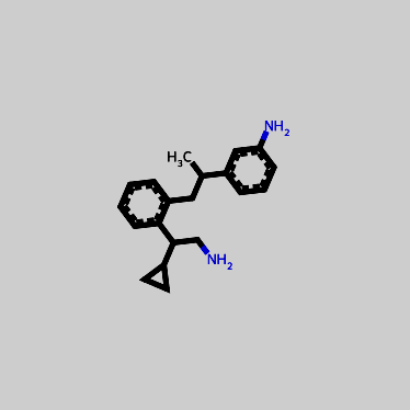 CC(Cc1ccccc1C(CN)C1CC1)c1cccc(N)c1